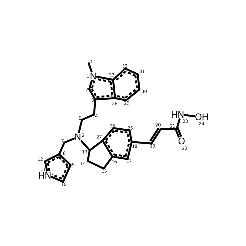 Cn1cc(CCN(Cc2cc[nH]c2)C2CCc3cc(C=CC(=O)NO)ccc32)c2ccccc21